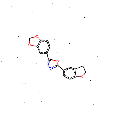 c1cc2c(cc1-c1nnc(-c3ccc4c(c3)OCO4)o1)CCO2